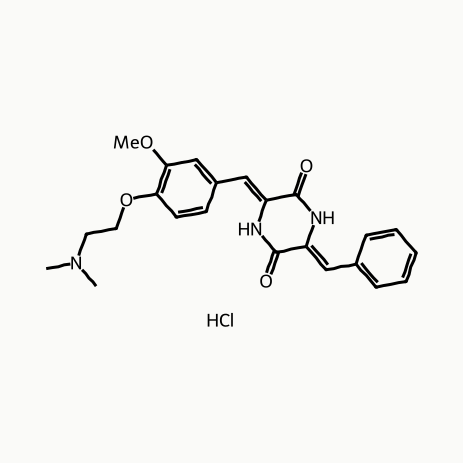 COc1cc(/C=c2\[nH]c(=O)/c(=C/c3ccccc3)[nH]c2=O)ccc1OCCN(C)C.Cl